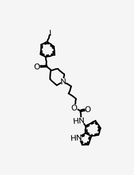 O=C(Nc1cccc2cc[nH]c12)OCCCN1CCC(C(=O)c2ccc(I)cc2)CC1